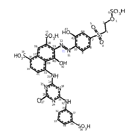 O=S(=O)(O)OCCS(=O)(=O)c1ccc(/N=N/c2c(S(=O)(=O)O)cc3c(S(=O)(=O)O)ccc(Nc4nc(Cl)nc(Nc5cccc(S(=O)(=O)O)c5)n4)c3c2O)c(O)c1